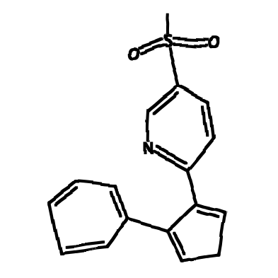 CS(=O)(=O)c1ccc(C2=CCC=C2c2ccccc2)nc1